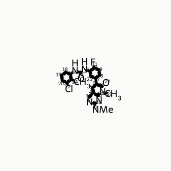 CNc1ncc2cc(-c3ccc(F)c(NC(=O)Nc4cccc(Cl)c4C)c3)c(=O)n(C)c2n1